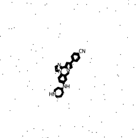 N#Cc1ccc(-c2cc3n(c2)Cc2cc(NC4CCCNCC4)ccc2-n2ccnc2-3)cc1